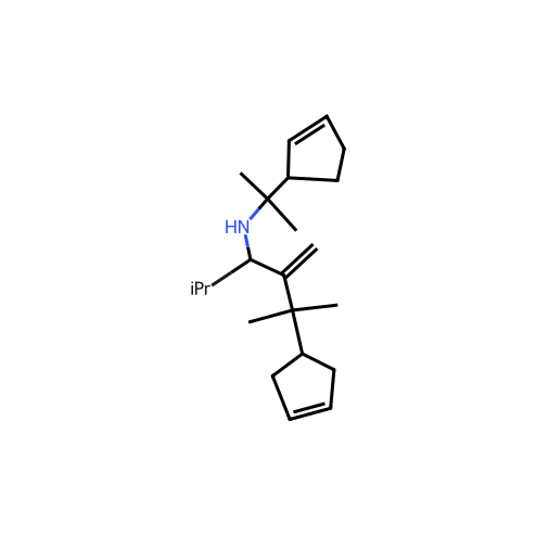 C=C(C(NC(C)(C)C1C=CCC1)C(C)C)C(C)(C)C1CC=CC1